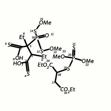 CCC(C(O)=S)C(CC)(C(O)=S)P(=O)(SOC)SOC.CCOC(=O)CC(SP(=S)(OC)OC)C(=O)OCC